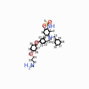 Cc1c(NS(C)(=O)=O)cccc1N(Cc1ccccc1)Cc1ccc(Oc2ccc(OCCCN)cc2)cc1